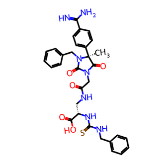 C[C@]1(c2ccc(C(=N)N)cc2)C(=O)N(CC(=O)NC[C@H](NC(=S)NCc2ccccc2)C(=O)O)C(=O)N1Cc1ccccc1